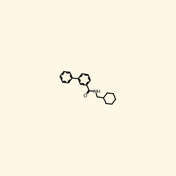 O=C(NCC1CCCCC1)c1cccc(-c2ccccc2)c1